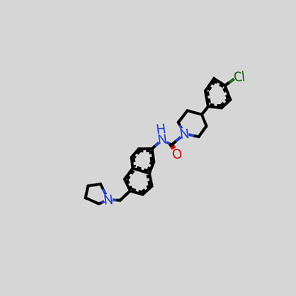 O=C(Nc1ccc2cc(CN3CCCC3)ccc2c1)N1CCC(c2ccc(Cl)cc2)CC1